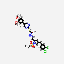 COc1ccc(-c2cnc(SCC(=O)NCCC3CC(Cc4ccc(Cl)c(Cl)c4)CN3S(C)(=O)=O)nc2)cc1OC